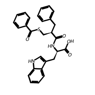 O=C(SC[C@@H](Cc1ccccc1)C(=O)N[C@H](Cc1c[nH]c2ccccc12)C(=O)O)c1ccccc1